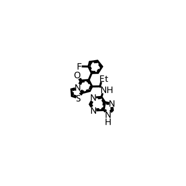 CCC(Nc1ncnc2[nH]cnc12)c1cc2sccn2c(=O)c1-c1ccccc1F